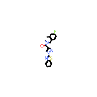 Cc1cc(F)ccc1CN(C)C(=O)c1cnn(-c2nc3ccccc3s2)c1